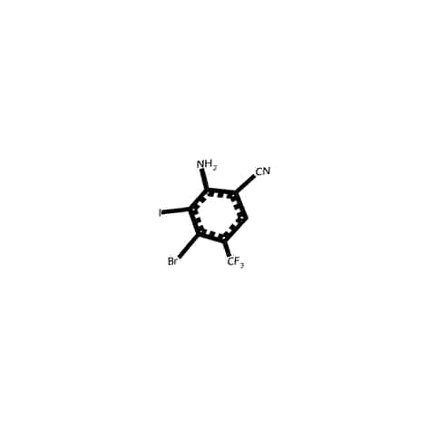 N#Cc1cc(C(F)(F)F)c(Br)c(I)c1N